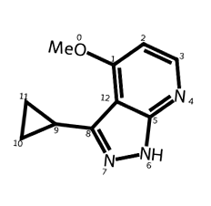 COc1ccnc2[nH]nc(C3CC3)c12